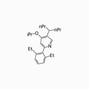 CCCC(CCC)c1cnc(-c2c(CC)cccc2CC)cc1OC(C)C